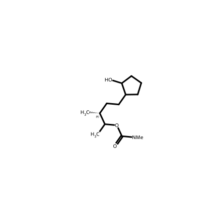 CNC(=O)OC(C)[C@H](C)CCC1CCCC1O